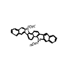 CCCCCCCCCCn1c2cc3ccccc3cc2c2ccc3c(ccc4c5cc6ccccc6cc5n(CCCCCCCCCC)c43)c21